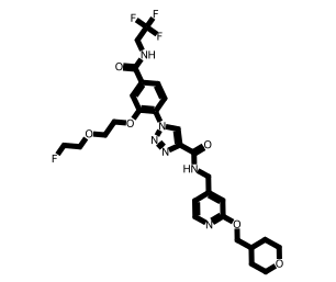 O=C(NCC(F)(F)F)c1ccc(-n2cc(C(=O)NCc3ccnc(OCC4CCOCC4)c3)nn2)c(OCCOCCF)c1